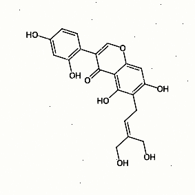 O=c1c(-c2ccc(O)cc2O)coc2cc(O)c(CC=C(CO)CO)c(O)c12